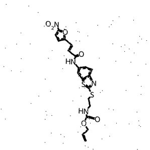 C=CCOC(=O)NCCSc1nc2ccc(NC(=O)/C=C/c3ccc([N+](=O)[O-])o3)cc2s1